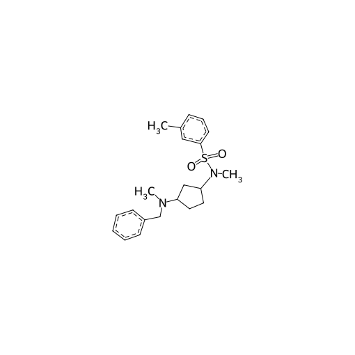 Cc1cccc(S(=O)(=O)N(C)C2CCC(N(C)Cc3ccccc3)C2)c1